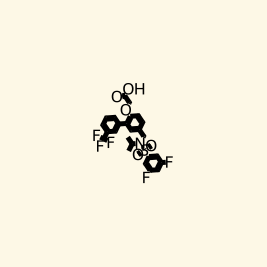 CC(C)N(Cc1ccc(OCC(=O)O)c(-c2cccc(C(F)(F)F)c2)c1)S(=O)(=O)c1cc(F)cc(F)c1